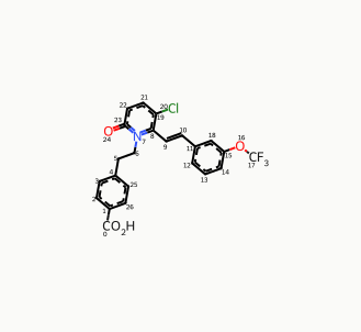 O=C(O)c1ccc(CCn2c(C=Cc3cccc(OC(F)(F)F)c3)c(Cl)ccc2=O)cc1